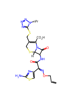 C=CCON=C(C(=O)NC1C(=O)N2C(C(=O)O)=C(CSc3nnnn3CCC)CS[C@@H]12)c1csc(N)n1